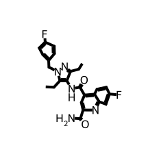 CCc1nn(Cc2ccc(F)cc2)c(CC)c1NC(=O)c1cc(C(N)=O)nc2cc(F)ccc12